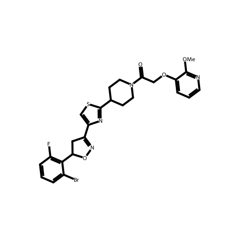 COc1ncccc1OCC(=O)N1CCC(c2nc(C3=NOC(c4c(F)cccc4Br)C3)cs2)CC1